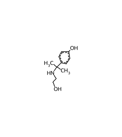 CC(C)(NCCO)c1ccc(O)cc1